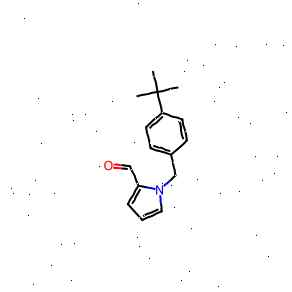 CC(C)(C)c1ccc(Cn2cccc2C=O)cc1